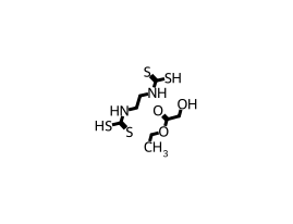 CCOC(=O)CO.S=C(S)NCCNC(=S)S